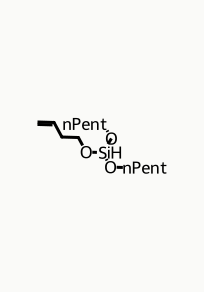 C=CCCO[SiH](OCCCCC)OCCCCC